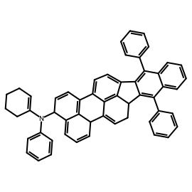 C1=CC2C3=CCC4c5c(ccc(c53)C3=C2C(=C1)C(N(C1=CCCCC1)c1ccccc1)C=C3)-c1c4c(-c2ccccc2)c2ccccc2c1-c1ccccc1